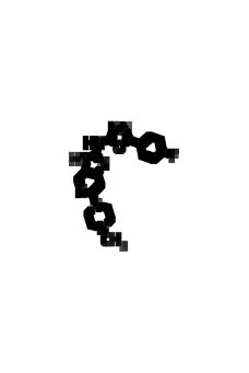 CN1CCN(c2cc3nc(Nc4nnc(-c5ccc(F)cc5)o4)[nH]c3cn2)CC1